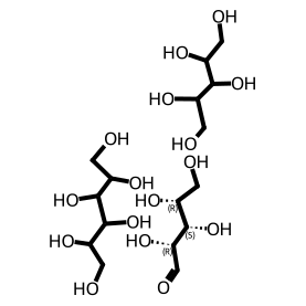 O=C[C@H](O)[C@@H](O)[C@H](O)CO.OCC(O)C(O)C(O)C(O)CO.OCC(O)C(O)C(O)CO